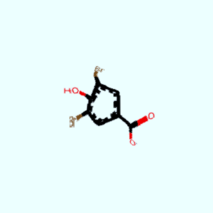 [O]C(=O)c1cc(Br)c(O)c(Br)c1